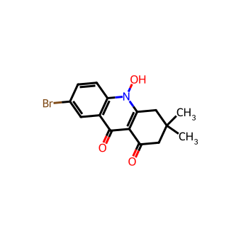 CC1(C)CC(=O)c2c(n(O)c3ccc(Br)cc3c2=O)C1